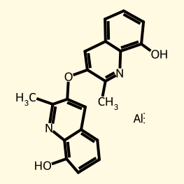 Cc1nc2c(O)cccc2cc1Oc1cc2cccc(O)c2nc1C.[Al]